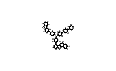 c1ccc(-c2ccc(-c3ccc(N(c4ccc(-c5ccc6oc7ccccc7c6c5)cc4)c4ccc(-c5cccc6oc7c8ccccc8ccc7c56)cc4)cc3)cc2)cc1